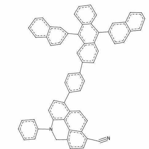 N#Cc1ccc2c3c1ccc1c(-c4ccc(-c5ccc6c(-c7ccc8ccccc8c7)c7ccccc7c(-c7ccc8ccccc8c7)c6c5)cc4)ccc(c13)N(c1ccccc1)C2